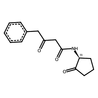 O=C(CC(=O)N[C@H]1CCCC1=O)Cc1ccccc1